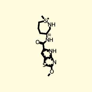 COc1nc2[nH]c(C(=O)N[C@H]3CCC[Si](C)(C)NC3)cc2s1